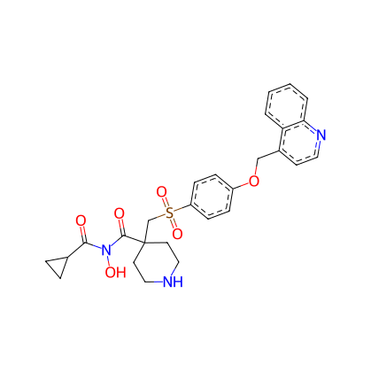 O=C(C1CC1)N(O)C(=O)C1(CS(=O)(=O)c2ccc(OCc3ccnc4ccccc34)cc2)CCNCC1